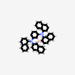 c1cc2c3c(c1)N(c1cccc4ccccc14)c1c(ccc4ccccc14)B3c1c(ccc3ccccc13)N2c1cccc2ccccc12